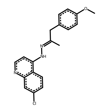 COc1ccc(C/C(C)=N/Nc2ccnc3cc(Cl)ccc23)cc1